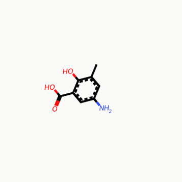 Cc1cc(N)cc(C(=O)O)c1O